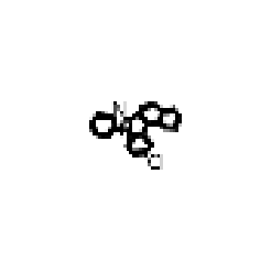 Clc1ccc2c(c1)c1c3ccccc3ccc1c1nc3ccccc3n21